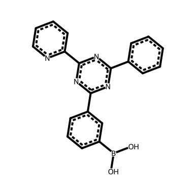 OB(O)c1cccc(-c2nc(-c3ccccc3)nc(-c3ccccn3)n2)c1